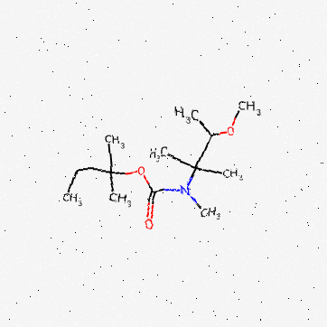 CCC(C)(C)OC(=O)N(C)C(C)(C)C(C)OC